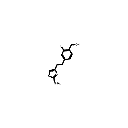 CC(=O)Nc1nc(CCc2ccc(CO)c(F)c2)cs1